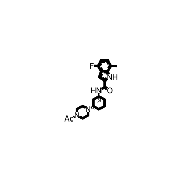 CC(=O)N1CCN([C@H]2CCC[C@H](NC(=O)c3cc4c(F)ccc(C)c4[nH]3)C2)CC1